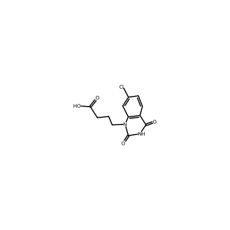 O=C(O)CCCn1c(=O)[nH]c(=O)c2ccc(Cl)cc21